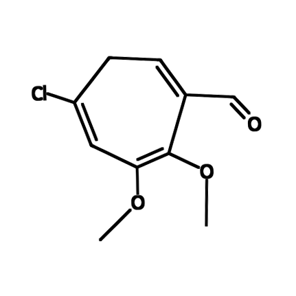 COC1=C(OC)C(C=O)=CCC(Cl)=C1